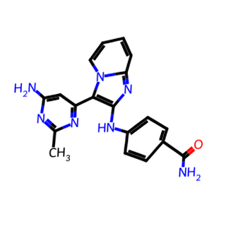 Cc1nc(N)cc(-c2c(Nc3ccc(C(N)=O)cc3)nc3ccccn23)n1